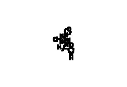 Cn1c(OC2CCNCC2)nc2c(N3CCOCC3)nc(Cl)nc21